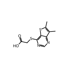 Cc1sc2c(SCC(=O)O)ncnc2c1C